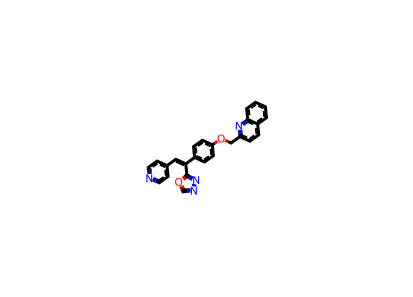 C(=C(c1ccc(OCc2ccc3ccccc3n2)cc1)c1nnco1)c1ccncc1